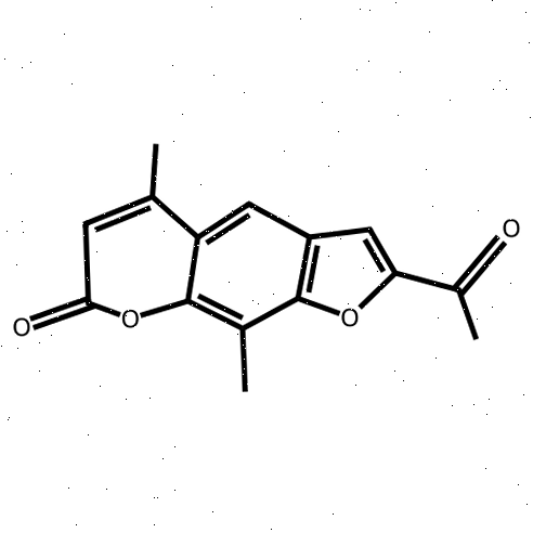 CC(=O)c1cc2cc3c(C)cc(=O)oc3c(C)c2o1